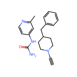 C#CN1CCC(Cc2ccccc2)CC1.Cc1cc(NC(N)=O)ccn1